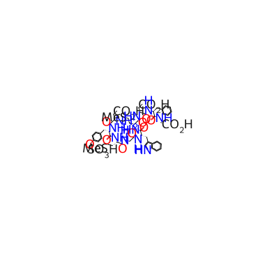 CSCC[C@H](NC(=O)[C@H](Cc1ccc(OS(=O)(=O)O)cc1)NC(=O)[C@@H](N)CC(=O)O)C(=O)NCC(=O)N[C@@H](Cc1c[nH]c2ccccc12)C(=O)N[C@@H](CCSC)C(=O)N[C@@H](CC(=O)O)C(=O)N[C@@H](Cc1ccccc1)C(=O)NCC(=O)O